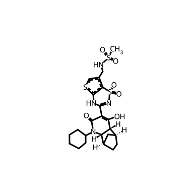 CS(=O)(=O)NCc1csc2c1S(=O)(=O)N=C(C1=C(O)[C@@H]3[C@H]4CC[C@H](C4)[C@@H]3N(C3CCCCC3)C1=O)N2